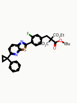 CCOC(=O)C(Cc1ccc(-c2nc3ccc(C4(c5ccccc5)CC4)nc3s2)c(F)c1)(C(=O)OCC)C(=O)OC(C)(C)C